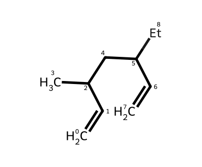 C=CC(C)CC(C=C)CC